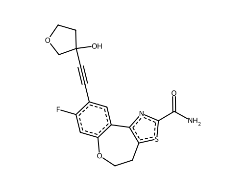 NC(=O)c1nc2c(s1)CCOc1cc(F)c(C#CC3(O)CCOC3)cc1-2